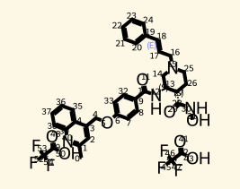 Cc1cc(COc2ccc(C(=O)N[C@@H]3CN(C/C=C/c4ccccc4)CC[C@@H]3C(=O)NO)cc2)c2ccccc2n1.O=C(O)C(F)(F)F.O=C(O)C(F)(F)F